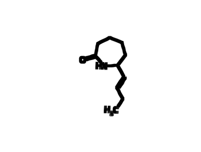 CCC=CC1CCCCC(=O)N1